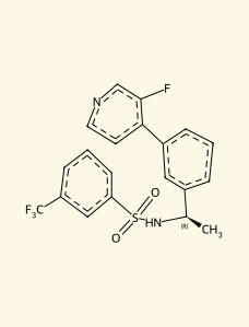 C[C@@H](NS(=O)(=O)c1cccc(C(F)(F)F)c1)c1cccc(-c2ccncc2F)c1